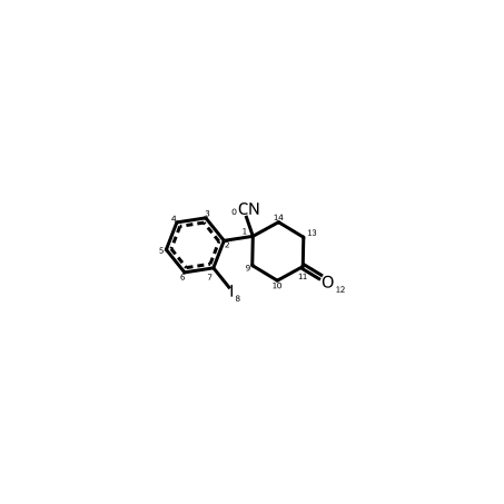 N#CC1(c2ccccc2I)CCC(=O)CC1